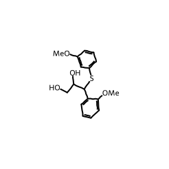 COc1cccc(SC(c2ccccc2OC)C(O)CO)c1